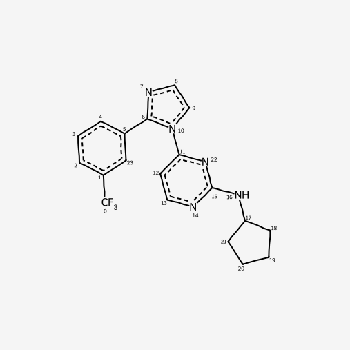 FC(F)(F)c1cccc(-c2nccn2-c2ccnc(NC3CCCC3)n2)c1